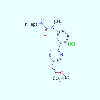 CCCCCCCNC(=O)N(C)c1cccc(-c2ccc(/C=C(\OCC)C(=O)O)cn2)c1.Cl